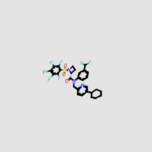 O=C([C@H]1CCN1S(=O)(=O)c1c(F)c(F)c(F)c(F)c1F)N(Cc1ccc(C2CCCCC2)cn1)c1cccc(C(F)F)c1